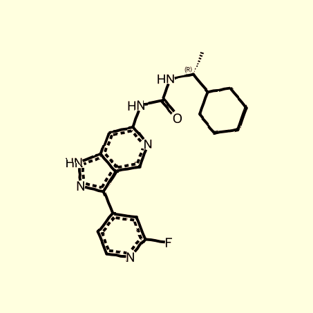 C[C@@H](NC(=O)Nc1cc2[nH]nc(-c3ccnc(F)c3)c2cn1)C1CCCCC1